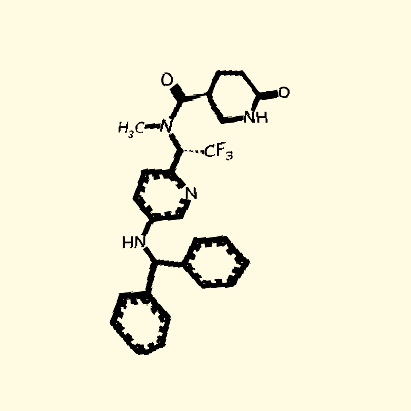 CN(C(=O)[C@H]1CCC(=O)NC1)[C@@H](c1ccc(NC(c2ccccc2)c2ccccc2)cn1)C(F)(F)F